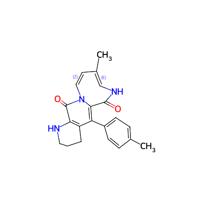 CC1=C\NC(=O)c2c(-c3ccc(C)cc3)c3c(c(=O)n2/C=C\1)NCCC3